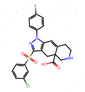 O=C(O)C12CNCCC1=Cc1c(c(S(=O)(=O)c3cccc(Cl)c3)nn1-c1ccc(F)cc1)C2